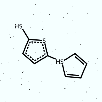 Sc1ccc([SH]2C=CC=C2)s1